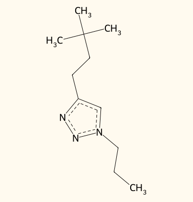 CCCn1cc(CCC(C)(C)C)nn1